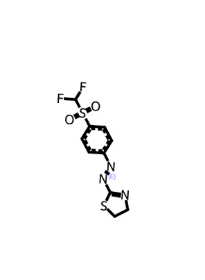 O=S(=O)(c1ccc(/N=N/C2=NCCS2)cc1)C(F)F